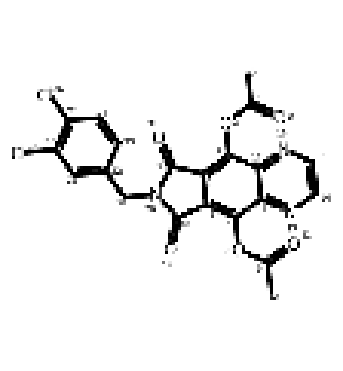 CC(=O)Oc1c2c(c(OC(C)=O)c3nccnc13)C(=O)N(Cc1ccc(Cl)c(Cl)c1)C2=O